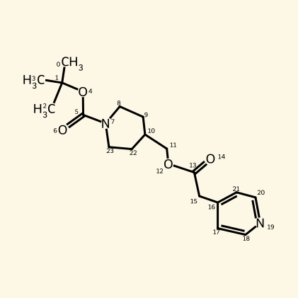 CC(C)(C)OC(=O)N1CCC(COC(=O)Cc2ccncc2)CC1